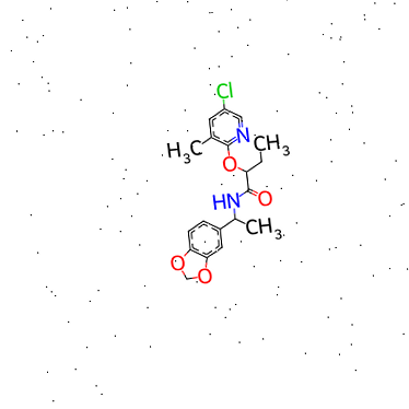 CCC(Oc1ncc(Cl)cc1C)C(=O)NC(C)c1ccc2c(c1)OCO2